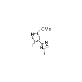 COCc1cc(-c2noc(C)n2)c(F)cn1